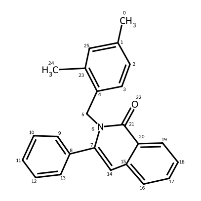 Cc1ccc(Cn2c(-c3ccccc3)cc3ccccc3c2=O)c(C)c1